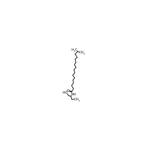 CCC(CO)NC(=O)CCCCCCCCCCCCCCC(C)C